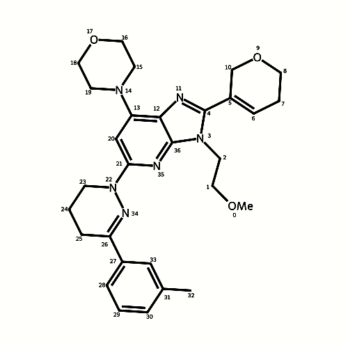 COCCn1c(C2=CCCOC2)nc2c(N3CCOCC3)cc(N3CCCC(c4cccc(C)c4)=N3)nc21